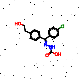 O=C(O)N/N=C(\c1ccc(Cl)cc1)c1ccc(CCO)cc1